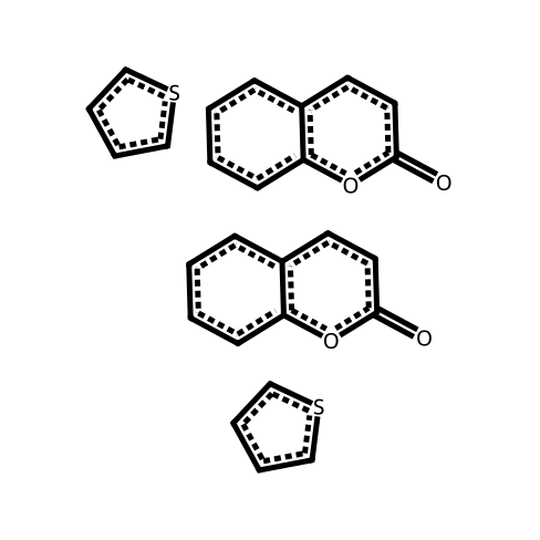 O=c1ccc2ccccc2o1.O=c1ccc2ccccc2o1.c1ccsc1.c1ccsc1